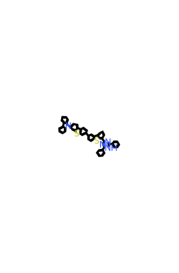 c1ccc(C2=NC(c3cccc4c3sc3ccc(-c5ccc6c(c5)sc5cc(-n7c8ccccc8c8ccccc87)ccc56)cc34)=NC(c3ccccc3)N2)cc1